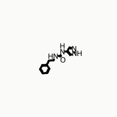 O=C(NCCc1ccccc1)Nc1cn[nH]c1